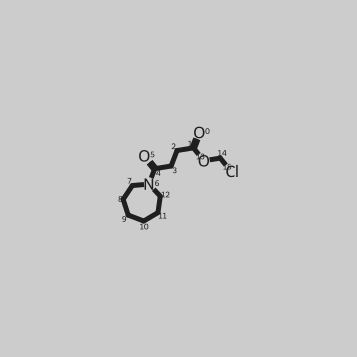 O=C(CCC(=O)N1CCCCCC1)OCCl